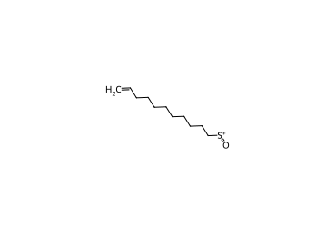 C=CCCCCCCCCC[S+]=O